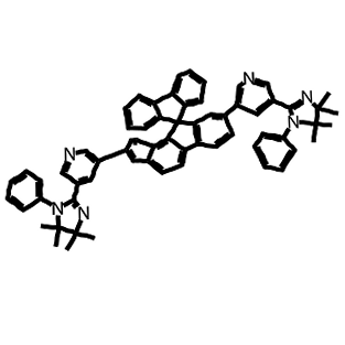 CC1(C)N=C(c2cncc(-c3ccc4c(c3)C3(c5ccccc5-c5ccccc53)c3c-4ccc4cc(-c5cncc(C6=NC(C)(C)C(C)(C)N6c6ccccc6)c5)ccc34)c2)N(c2ccccc2)C1(C)C